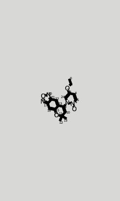 CCOc1cc[n+](=O)n(C2=CC(C)(C)Oc3cc4nonc4cc32)c1